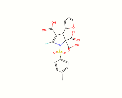 Cc1ccc(S(=O)(=O)N2C(F)=C(C(=O)O)C(c3ccco3)C2(C(=O)O)C(=O)O)cc1